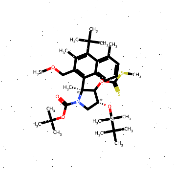 CSC(=S)OC1[C@H](O[Si](C)(C)C(C)(C)C)CN(C(=O)OC(C)(C)C)[C@@]1(C)c1c(CO[SiH3])c(C)c(C(C)(C)C)c2c(C)cccc12